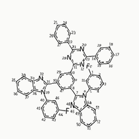 Fc1cccc(-n2c(-c3cc(-c4nc(-c5ccccc5)nc(-c5ccccc5)n4)cc(-c4nc5ccccc5n4-c4cccc(F)c4)c3)nc3ccccc32)c1